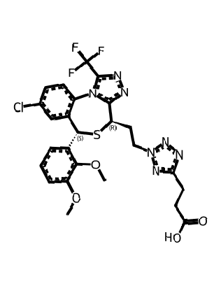 COc1cccc([C@H]2S[C@H](CCn3nnc(CCC(=O)O)n3)c3nnc(C(F)(F)F)n3-c3ccc(Cl)cc32)c1OC